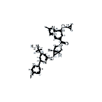 Cc1cn2cc(C(=O)N3C[C@@H]4C(Oc5cc(C(C)(C)N)cc(-c6ccc(F)cc6)n5)[C@@H]4C3)cc(OC3CC3)c2n1